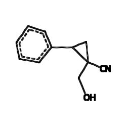 N#CC1(CO)CC1c1ccccc1